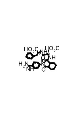 N=C(N)c1ccc(NC(=O)C2CCCCC2C(=O)N[C@@H](CC(=O)O)C(=O)N[C@@H](Cc2ccccc2)C(=O)O)cc1